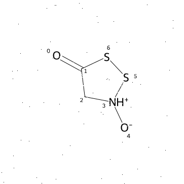 O=C1C[NH+]([O-])SS1